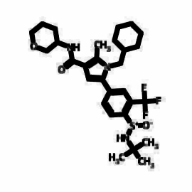 Cc1c(C(=O)NC2CCCOC2)cc(-c2ccc([S+]([O-])NC(C)(C)C)c(C(F)(F)F)c2)n1CC1CCCCC1